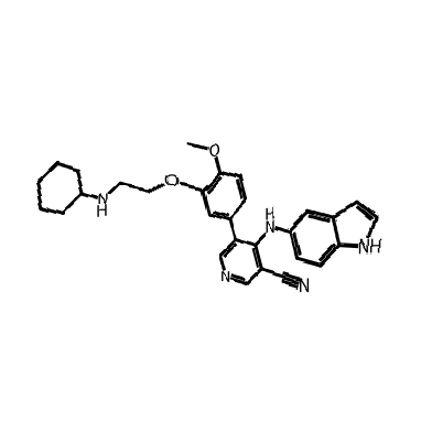 COc1ccc(-c2cncc(C#N)c2Nc2ccc3[nH]ccc3c2)cc1OCCNC1CCCCC1